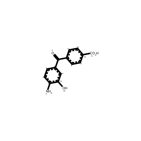 Nc1ccc(C(=O)c2ccc(C(=O)O)cc2)cc1O